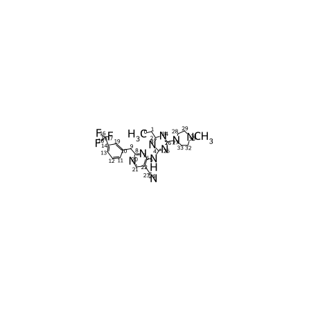 CCc1nc(Nc2nc(Cc3cccc(C(F)(F)F)c3)ncc2C#N)nc(N2CCN(C)CC2)n1